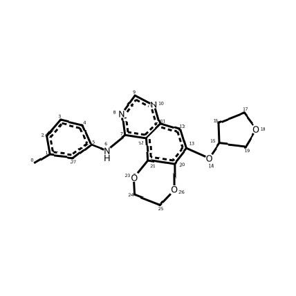 Cc1cccc(Nc2ncnc3cc(OC4CCOC4)c4c(c23)OCCO4)c1